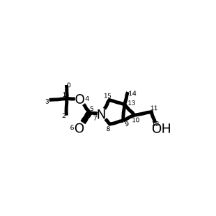 CC(C)(C)OC(=O)N1CC2C(CO)C2(C)C1